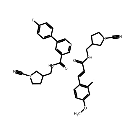 COc1ccc(/C=C/C(=O)NCC2CCN(C#N)C2)c(F)c1.N#CN1CCC(CNC(=O)c2cncc(-c3ccc(F)cc3)c2)C1